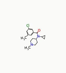 Cc1cc(Cl)cc(C(=O)N(C2CC2)C2CCN(C)CC2)c1